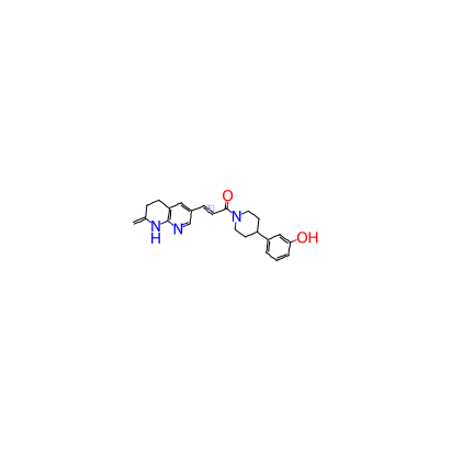 C=C1CCc2cc(/C=C/C(=O)N3CCC(c4cccc(O)c4)CC3)cnc2N1